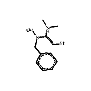 CC/C=C(/N(Cc1ccccc1)C(C)(C)C)[SiH](C)C